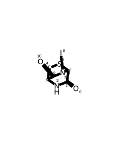 O=C1NC2SSC1N(I)C2=O